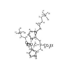 CCOC(=O)C(Cc1nccn1COCC[Si](C)(C)C)(Cc1nccn1COCC[Si](C)(C)C)C(=O)OCC